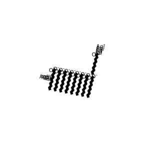 CCCCCCCCCC(=O)[O-].CCCCCCCCCC(=O)[O-].CCCCCCCCCC(=O)[O-].CCCCCCCCCC(=O)[O-].CCCCCCCCCC(=O)[O-].CCCCCCCCCC(=O)[O-].CCCCCCCCCC(=O)[O-].CCCCCCCCCC(=O)[O-].CCCCCCCCCC(=O)[O-].[Ag+].[Ag+].[Ag+].[Ag+].[Ag+].[Ag+].[Ag+].[Ag+].[Ag+]